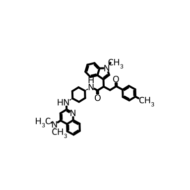 Cc1ccc(C(=O)CC(C(=O)N[C@H]2CC[C@@H](Nc3cc(N(C)C)c4ccccc4n3)CC2)c2cn(C)c3ccccc23)cc1